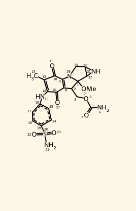 COC12C(COC(N)=O)C3=C(C(=O)C(C)=C(Nc4ccc(S(N)(=O)=O)cc4)C3=O)N1CC1NC12